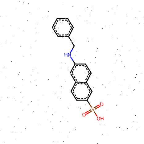 O=S(=O)(O)c1ccc2cc(NCc3ccccc3)ccc2c1